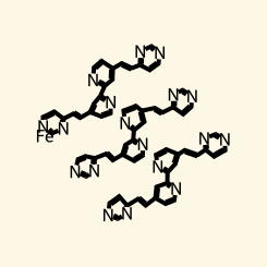 C(=Cc1ccncn1)c1ccnc(-c2cc(C=Cc3ccncn3)ccn2)c1.C(=Cc1ccncn1)c1ccnc(-c2cc(C=Cc3ccncn3)ccn2)c1.C(=Cc1ccncn1)c1ccnc(-c2cc(C=Cc3ccncn3)ccn2)c1.[Fe]